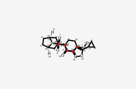 CCNC1CCN(S(=O)(=O)N2[C@@H]3CC[C@H]2C[C@@H](NC(=O)c2cc(C4CC4)on2)C3)CC1